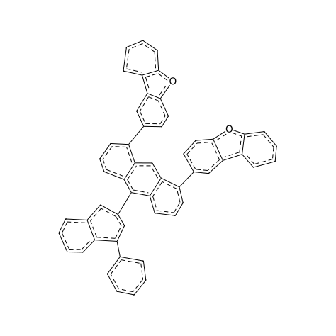 c1ccc(-c2cc(-c3c4cccc(-c5ccc6oc7ccccc7c6c5)c4cc4c(-c5ccc6oc7ccccc7c6c5)cccc34)cc3ccccc23)cc1